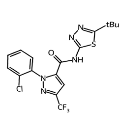 CC(C)(C)c1nnc(NC(=O)c2cc(C(F)(F)F)nn2-c2ccccc2Cl)s1